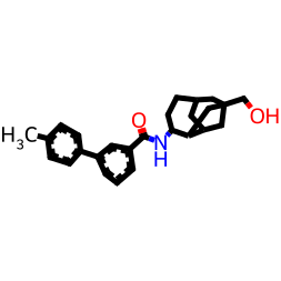 Cc1ccc(-c2cccc(C(=O)NC3CCC4CC5CC(CO)(C4)CC53)c2)cc1